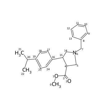 COC(=O)C1CN(Cc2ccccc2)CC1c1ccc(C(C)C)cc1